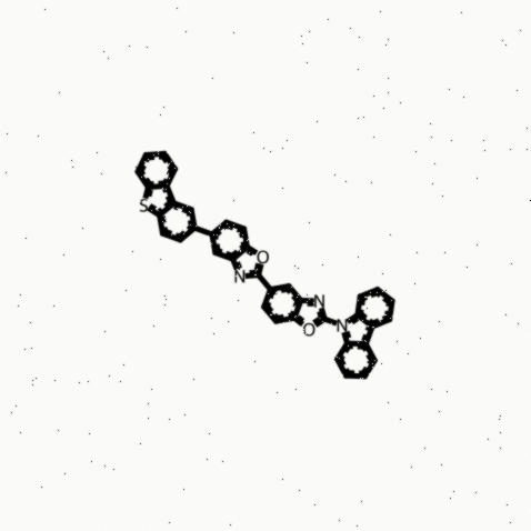 c1ccc2c(c1)sc1ccc(-c3ccc4oc(-c5ccc6oc(-n7c8ccccc8c8ccccc87)nc6c5)nc4c3)cc12